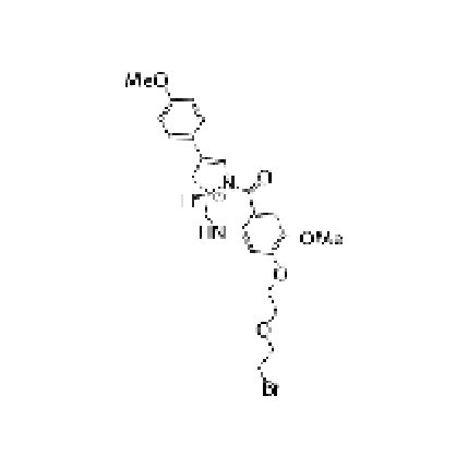 COc1ccc(C2=CN3C(=O)c4cc(OC)c(OCCOCCBr)cc4NC[C@@H]3C2)cc1